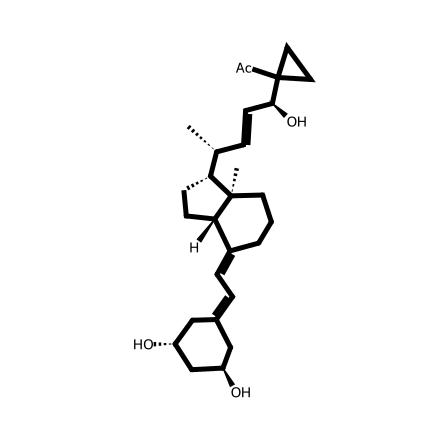 CC(=O)C1([C@@H](O)/C=C/[C@@H](C)[C@H]2CC[C@H]3/C(=C/C=C4C[C@@H](O)C[C@H](O)C4)CCC[C@]23C)CC1